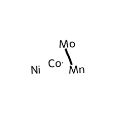 [Co].[Mn][Mo].[Ni]